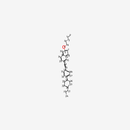 CCCCCOc1ccc2cc(C#Cc3ccc(C4CCC(CCC)CC4)cc3)ccc2c1